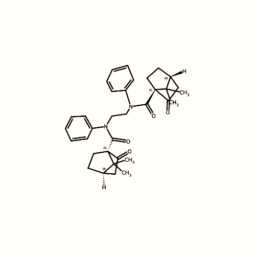 CC1(C)[C@@H]2CC[C@@]1(C(=O)N(CCN(C(=O)[C@]13CC[C@H](CC1=O)C3(C)C)c1ccccc1)c1ccccc1)C(=O)C2